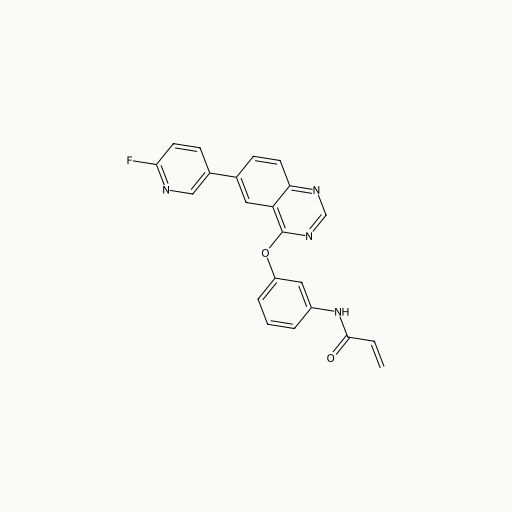 C=CC(=O)Nc1cccc(Oc2ncnc3ccc(-c4ccc(F)nc4)cc23)c1